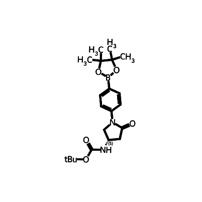 CC(C)(C)OC(=O)N[C@H]1CC(=O)N(c2ccc(B3OC(C)(C)C(C)(C)O3)cc2)C1